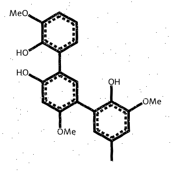 COc1cc(O)c(-c2cccc(OC)c2O)cc1-c1cc(C)cc(OC)c1O